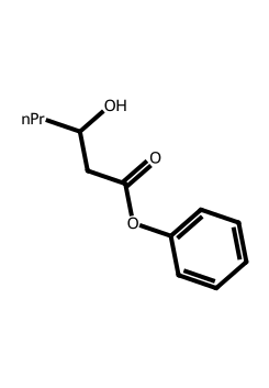 CCCC(O)CC(=O)Oc1ccccc1